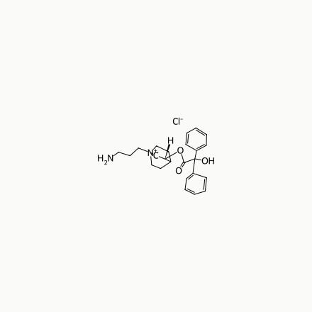 NCCC[N+]12CCC(CC1)[C@@H](OC(=O)C(O)(c1ccccc1)c1ccccc1)C2.[Cl-]